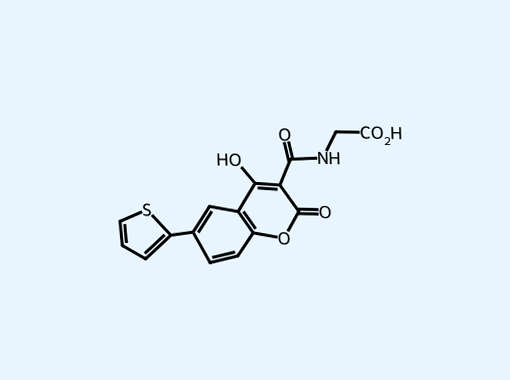 O=C(O)CNC(=O)c1c(O)c2cc(-c3cccs3)ccc2oc1=O